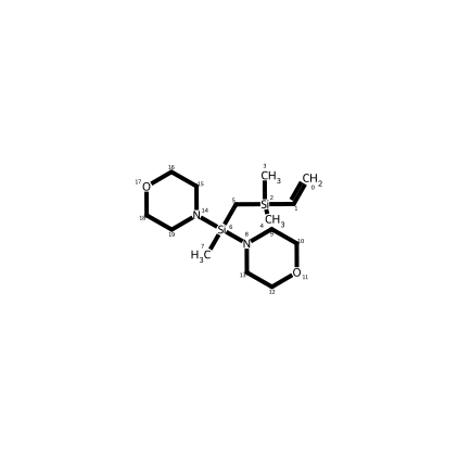 C=C[Si](C)(C)C[Si](C)(N1CCOCC1)N1CCOCC1